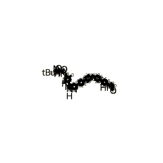 Cc1cc(-c2n[nH]c3ncc(-c4ccc(N5CCN(CC6CCN(c7ccc(N8CCC(=O)N8)cc7)CC6)CC5)cc4)cc23)c(F)cc1CNC(=O)c1nc(C(C)(C)C)no1